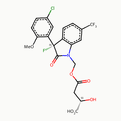 COc1ccc(Cl)cc1[C@]1(F)C(=O)N(COC(=O)C[C@H](O)C(=O)O)c2cc(C(F)(F)F)ccc21